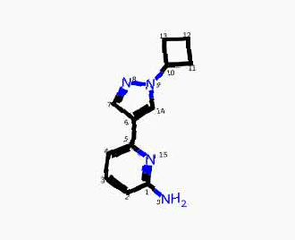 Nc1cccc(-c2cnn(C3CCC3)c2)n1